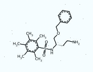 Cc1c(C)c(C)c(S(=O)(=O)N[C@@H](CCN)COCc2ccccc2)c(C)c1C